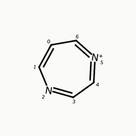 C1=CN=CC=[N+]=C1